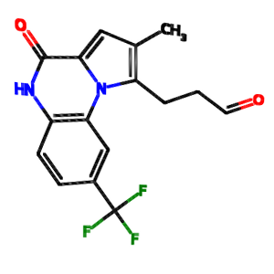 Cc1cc2c(=O)[nH]c3ccc(C(F)(F)F)cc3n2c1CCC=O